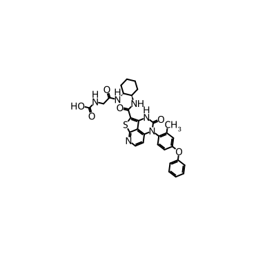 Cc1cc(Oc2ccccc2)ccc1N1C(=O)Nc2c(C(=O)N[C@@H]3CCCC[C@H]3NC(=O)CNC(=O)O)sc3nccc1c23